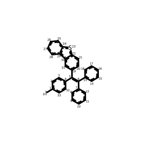 Ic1ccc(C(=C(c2ccccc2)c2ccccc2)c2ccc3sc4ccccc4c3c2)cc1